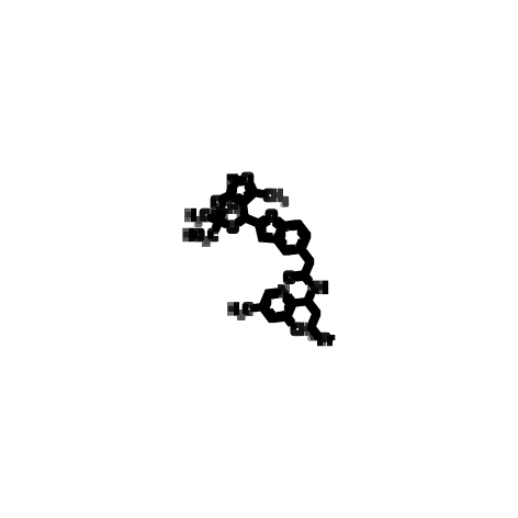 Cc1cnc(C(CCC(C)C)NC(=O)Cc2ccc3oc(C(OC(C)(C)C(=O)O)c4c(C)noc4C)cc3c2)c(C)c1